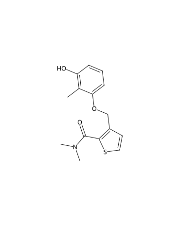 Cc1c(O)cccc1OCc1ccsc1C(=O)N(C)C